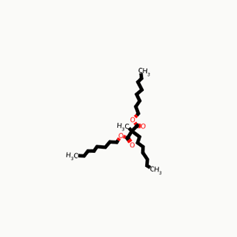 CCCCCCCCOC(=O)C(C)(CCCCCCC)C(=O)OCCCCCCCC